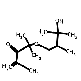 C=C(C)C(=O)C(C)(C)OCC(C)C(C)(C)O